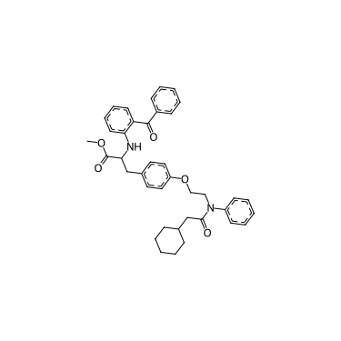 COC(=O)C(Cc1ccc(OCCN(C(=O)CC2CCCCC2)c2ccccc2)cc1)Nc1ccccc1C(=O)c1ccccc1